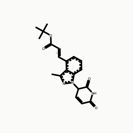 Cc1nn(C2C=CC(=O)NC2=O)c2cccc(/C=C/C(=O)OC(C)(C)C)c12